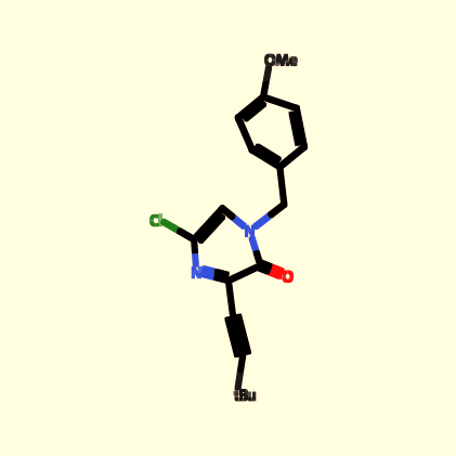 COc1ccc(Cn2cc(Cl)nc(C#CC(C)(C)C)c2=O)cc1